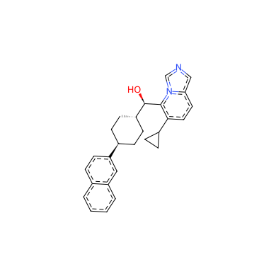 O[C@@H](c1c(C2CC2)ccc2cncn12)[C@H]1CC[C@H](c2ccc3ccccc3c2)CC1